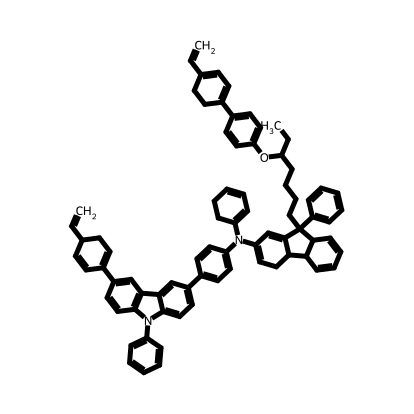 C=CC1=CC=C(c2ccc(OC(CC)CCCCC3(c4ccccc4)C4=CC(N(C5=CC=CCC5)c5ccc(-c6ccc7c(c6)c6cc(C8=CCC(C=C)C=C8)ccc6n7-c6ccccc6)cc5)=CCC4C4C=CC=CC43)cc2)CC1